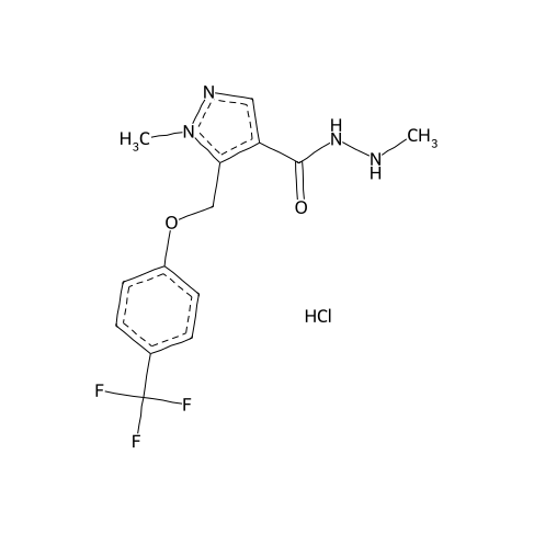 CNNC(=O)c1cnn(C)c1COc1ccc(C(F)(F)F)cc1.Cl